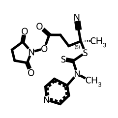 CN(C(=S)S[C@](C)(C#N)CCC(=O)ON1C(=O)CCC1=O)c1ccncc1